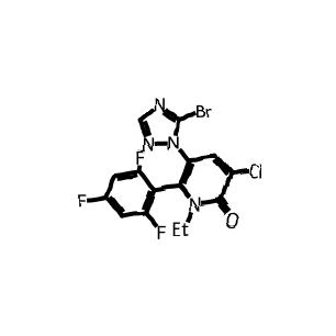 CCn1c(-c2c(F)cc(F)cc2F)c(-n2ncnc2Br)cc(Cl)c1=O